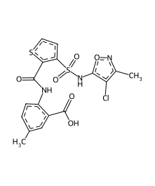 Cc1ccc(NC(=O)c2sccc2S(=O)(=O)Nc2onc(C)c2Cl)c(C(=O)O)c1